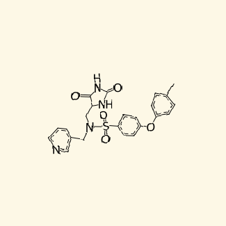 Cc1ccc(Oc2ccc(S(=O)(=O)N(Cc3cccnc3)CC3NC(=O)NC3=O)cc2)cc1